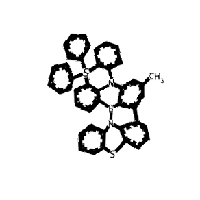 Cc1cc2c3c(c1)N1c4ccccc4S(c4ccccc4)(c4ccccc4)c4cccc(c41)B3N1c3ccccc3Sc3cccc-2c31